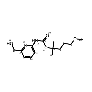 CCOCCCC(C)(C)OC(=O)Nc1cccc(CO)n1